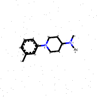 CC(=O)N(C)C1CCN(c2cccc(C)c2)CC1